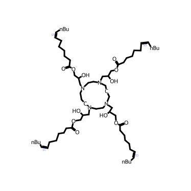 CCCC/C=C\CCCCCC(=O)OCC(O)CN1CCCN(CC(O)COC(=O)CCCCC/C=C\CCCC)CCN(CC(O)COC(=O)CCCCC/C=C\CCCC)CCCN(CC(O)COC(=O)CCCCC/C=C\CCCC)CC1